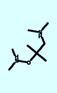 C[SiH](C)CC(C)(C)O[SiH](C)C